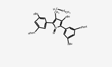 CCCCCc1cc(CCCC)cc(C2=C(C)C(CCCC)=C(c3cc(CCCC)cc(CCCCC)c3)[N+]2=[N-])c1.[CH3][Pd][CH3]